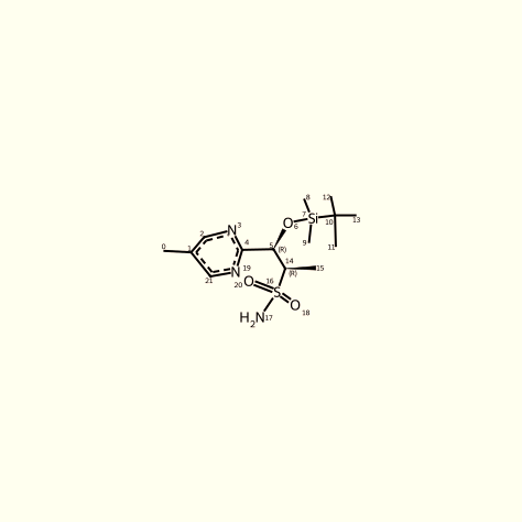 Cc1cnc([C@@H](O[Si](C)(C)C(C)(C)C)[C@@H](C)S(N)(=O)=O)nc1